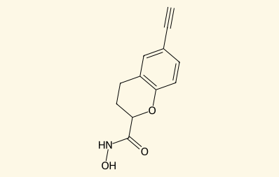 C#Cc1ccc2c(c1)CCC(C(=O)NO)O2